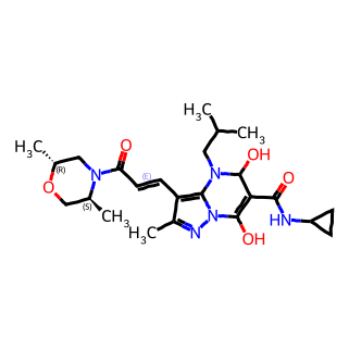 Cc1nn2c(c1/C=C/C(=O)N1C[C@@H](C)OC[C@@H]1C)N(CC(C)C)C(O)C(C(=O)NC1CC1)=C2O